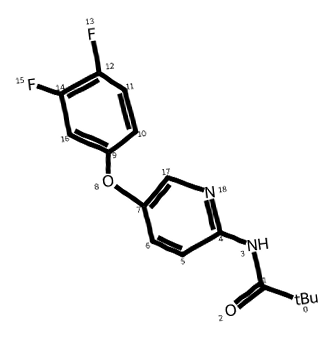 CC(C)(C)C(=O)Nc1ccc(Oc2ccc(F)c(F)c2)cn1